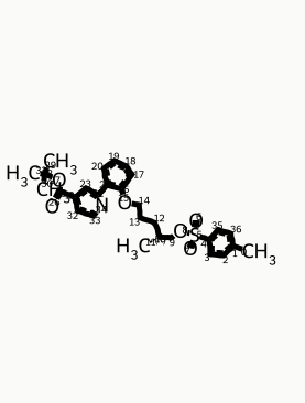 Cc1ccc(S(=O)(=O)OC[C@H](C)CCCOc2ccccc2-c2cc(C(=O)OC(C)(C)C)ccn2)cc1